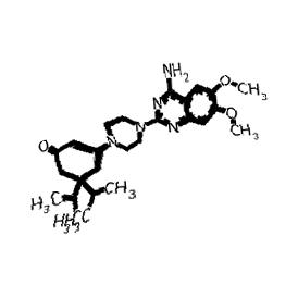 COc1cc2nc(N3CCN(C4=CC(=O)CC(C(C)C)(C(C)C)C4)CC3)nc(N)c2cc1OC